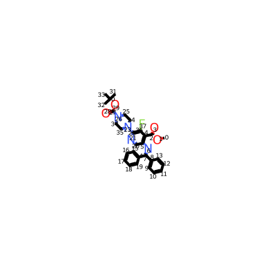 COC(=O)c1c(N=C(c2ccccc2)c2ccccc2)cnc(N2CCN(C(=O)OC(C)(C)C)CC2)c1F